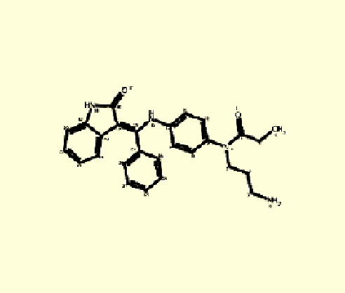 CCC(=O)N(CCCN)c1ccc(N/C(=C2\C(=O)Nc3ccccc32)c2ccccc2)cc1